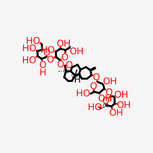 C=C1CC2CCC3[C@](C)(C(=O)OC4OC(CO)C(O)C(O)C4OC4OC(CO)C(O)C(O)C4O)CCC[C@@]3(C)[C@@H]2CCC1OC1OC(CO)C(O)C(OC2O[C@@H](CO)C(O)C(O)C2O)C1O